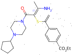 C=C(S/C(C(=O)N1CCN(C2CCCC2)CC1)=C(/C)N)c1ccc(C(=O)OCC)cc1